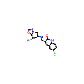 CC(C)c1cc(NCc2cc3cc(Cl)ccc3[nH]c2=O)cc2ncoc12